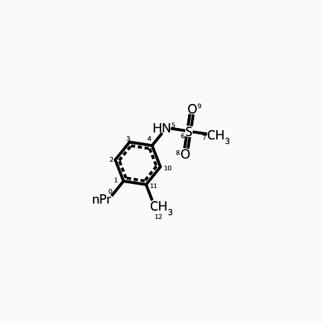 CCCc1ccc(NS(C)(=O)=O)cc1C